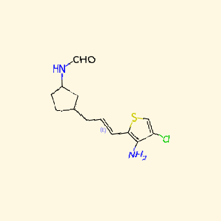 Nc1c(Cl)csc1/C=C/CC1CCC(NC=O)C1